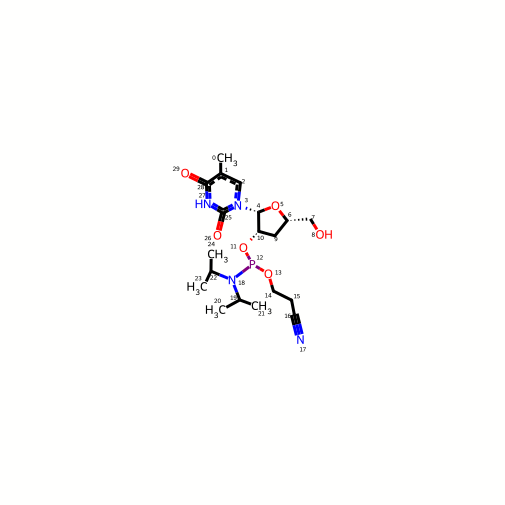 Cc1cn([C@@H]2O[C@H](CO)C[C@@H]2OP(OCCC#N)N(C(C)C)C(C)C)c(=O)[nH]c1=O